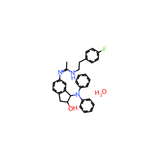 CC(=Nc1ccc2c(c1)C(N(c1ccccc1)c1ccccc1)C(O)C2)NCCc1ccc(F)cc1.O